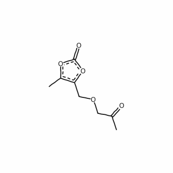 CC(=O)COCc1oc(=O)oc1C